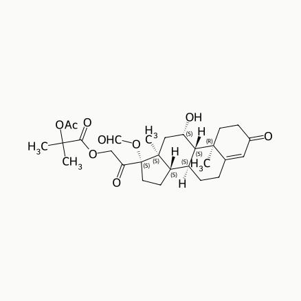 CC(=O)OC(C)(C)C(=O)OCC(=O)[C@]1(OC=O)CC[C@H]2[C@@H]3CCC4=CC(=O)CC[C@]4(C)[C@H]3[C@@H](O)C[C@@]21C